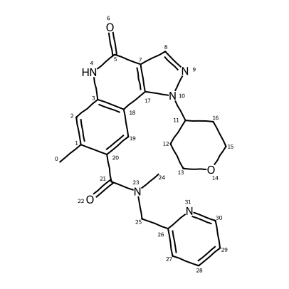 Cc1cc2[nH]c(=O)c3cnn(C4CCOCC4)c3c2cc1C(=O)N(C)Cc1ccccn1